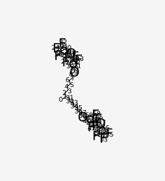 CC(CCCCCCCOc1cc(F)c(C(F)(F)Oc2cc(F)c(F)c(F)c2)c(F)c1)CCCCCCCOc1cc(F)c(C(F)(F)Oc2cc(F)c(F)c(F)c2)c(F)c1